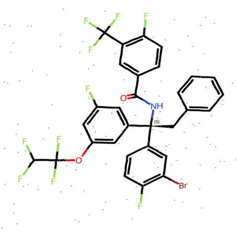 O=C(N[C@@](Cc1ccccc1)(c1cc(F)cc(OC(F)(F)C(F)F)c1)c1ccc(F)c(Br)c1)c1ccc(F)c(C(F)(F)F)c1